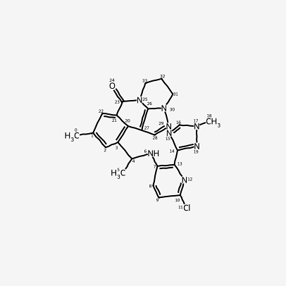 Cc1cc(C(C)Nc2ccc(Cl)nc2-c2ncn(C)n2)c2c(c1)c(=O)n1c3c2cnn3CCC1